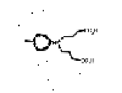 Cc1ccc([SH](CCCC(=O)O)CCCC(=O)O)cc1